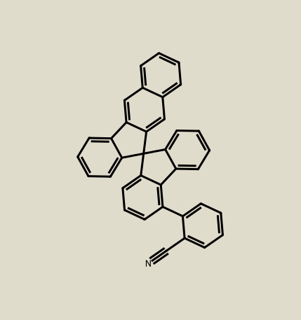 N#Cc1ccccc1-c1cccc2c1-c1ccccc1C21c2ccccc2-c2cc3ccccc3cc21